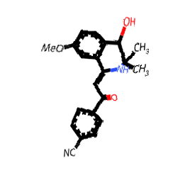 COc1ccc2c(c1)C(=CC(=O)c1ccc(C#N)cc1)NC(C)(C)C2O